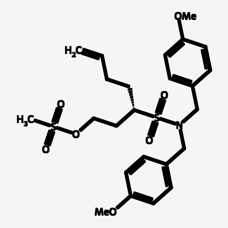 C=CCC[C@@H](CCOS(C)(=O)=O)S(=O)(=O)N(Cc1ccc(OC)cc1)Cc1ccc(OC)cc1